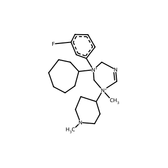 CN1CCC([N+]2(C)C=NC[N+](c3cccc(F)c3)(C3CCCCCC3)C2)CC1